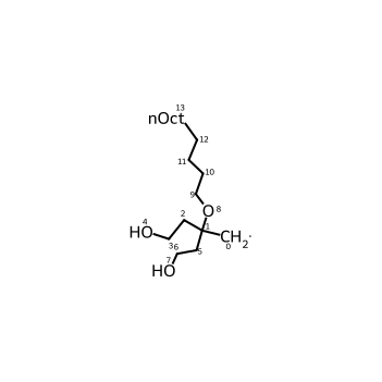 [CH2]C(CCO)(CCO)OCCCCCCCCCCCC